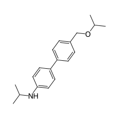 CC(C)Nc1ccc(-c2ccc(COC(C)C)cc2)cc1